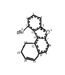 CC(C)(C)c1cccc2oc3ccc4c(c3c12)CCC=C4